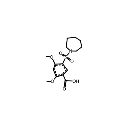 COc1cc(OC)c(S(=O)(=O)N2CCCCCC2)cc1C(=O)O